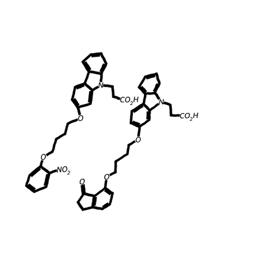 O=C(O)CCn1c2ccccc2c2ccc(OCCCCOc3cccc4c3C(=O)CC4)cc21.O=C(O)CCn1c2ccccc2c2ccc(OCCCCOc3ccccc3[N+](=O)[O-])cc21